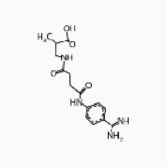 CC(CNC(=O)CCC(=O)Nc1ccc(C(=N)N)cc1)C(=O)O